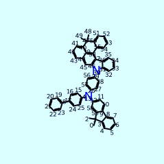 CC1(C)c2ccccc2-c2ccc(N(c3ccc(-c4ccccc4)cc3)c3ccc(-n4c5ccccc5c5c6c7c(cccc7cc54)C(C)(C)c4ccccc4-6)cc3)cc21